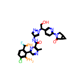 Cc1ncc(-c2c(C(F)P)ccc(Cl)c2P)nc1C(=O)Nc1cnn(C(CO)c2ccc(N3CC4CC4C3=O)nc2)c1